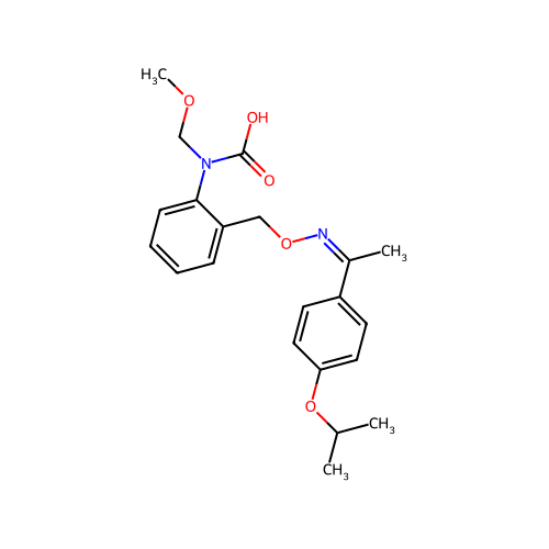 COCN(C(=O)O)c1ccccc1CON=C(C)c1ccc(OC(C)C)cc1